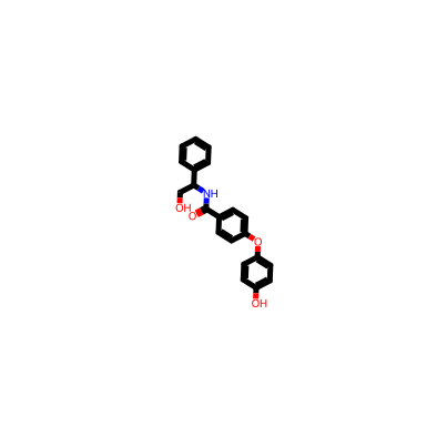 O=C(NC(CO)c1ccccc1)c1ccc(Oc2ccc(O)cc2)cc1